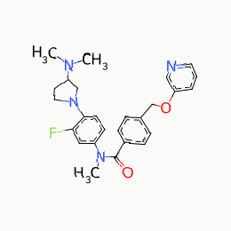 CN(C(=O)c1ccc(COc2cccnc2)cc1)c1ccc(N2CCC(N(C)C)C2)c(F)c1